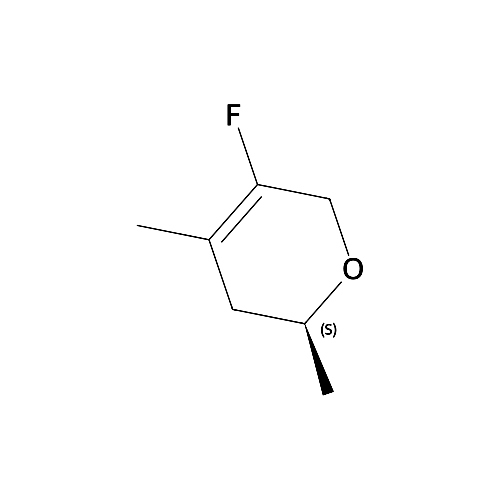 CC1=C(F)CO[C@@H](C)C1